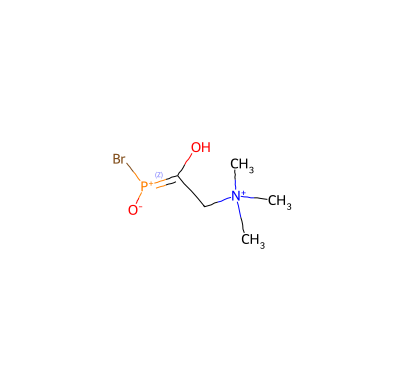 C[N+](C)(C)C/C(O)=[P+](\[O-])Br